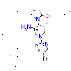 CCc1cnc(N2CCC(N3CCCC3=O)[C@H](N)C2)nc1